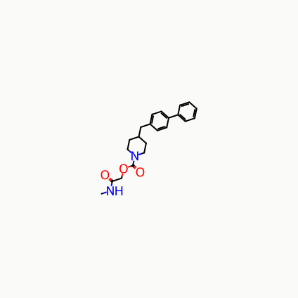 CNC(=O)COC(=O)N1CCC(Cc2ccc(-c3ccccc3)cc2)CC1